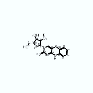 COC1C(O)[C@@H](CO)S[C@H]1n1cc2c(nc1=S)Nc1ccccc1S2